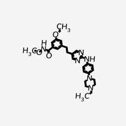 CCOc1cc(CCc2cnc(Nc3ccc(N4CCN(CC)CC4)cc3)nc2)cc(C(=O)NOC)c1